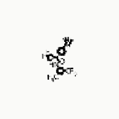 Cn1nnc(-c2ccc([C@@H](C(=O)Nc3cc(C(F)(F)F)cc(C(F)(F)F)c3)[C@H]3CCC(F)(F)C3)cc2)n1